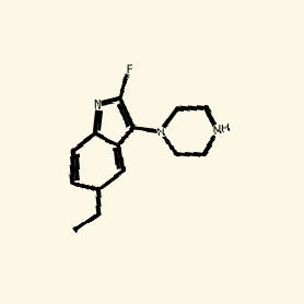 CCC1C=CC2=NC(F)=C(N3CCNCC3)C2=C1